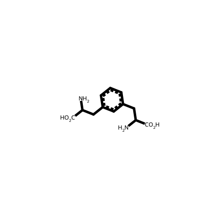 NC(Cc1cccc(CC(N)C(=O)O)c1)C(=O)O